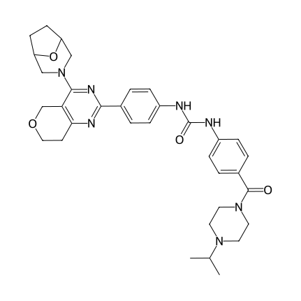 CC(C)N1CCN(C(=O)c2ccc(NC(=O)Nc3ccc(-c4nc5c(c(N6CC7CCC(C6)O7)n4)COCC5)cc3)cc2)CC1